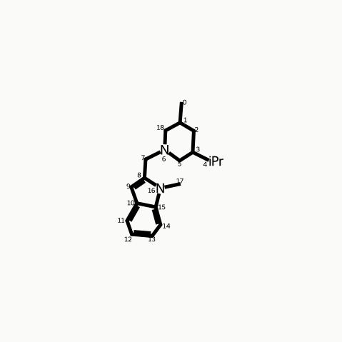 CC1CC(C(C)C)CN(Cc2cc3ccccc3n2C)C1